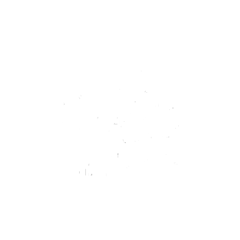 Cc1ccc2c(c1)[CH]([Zr+2]=[C](c1ccccc1)c1ccccc1)c1c-2ccc(C)c1C1=CC=CC1.[Cl-].[Cl-]